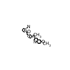 COc1ccc2ncc(N(C)[C@H]3CCN(CC(=O)N4CCC[C@H]4C#N)C3)cc2c1